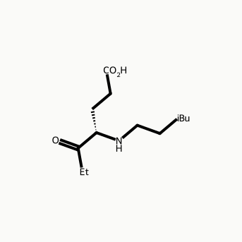 CCC(=O)[C@H](CCC(=O)O)NCCC(C)CC